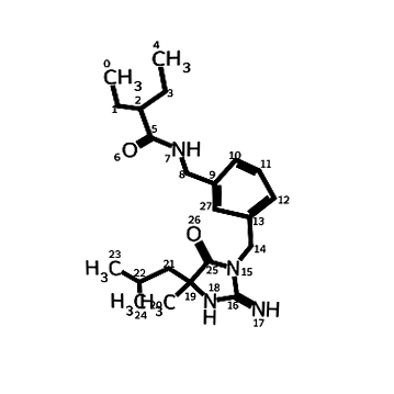 CCC(CC)C(=O)NCc1cccc(CN2C(=N)NC(C)(CC(C)C)C2=O)c1